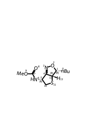 CCCC[C@H]1ON=C2[C@@H](NC(=O)OC)CS[C@H]21